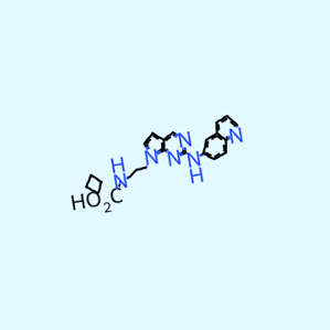 C1CCC1.O=C(O)NCCCn1ccc2cnc(Nc3ccc4ncccc4c3)nc21